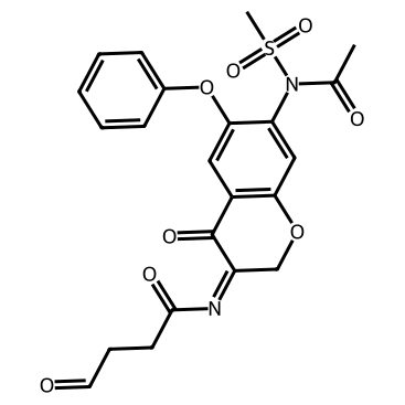 CC(=O)N(c1cc2c(cc1Oc1ccccc1)C(=O)C(=NC(=O)CCC=O)CO2)S(C)(=O)=O